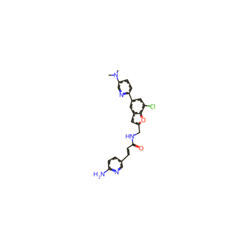 CN(C)c1ccc(-c2cc(Cl)c3oc(CNC(=O)C=Cc4ccc(N)nc4)cc3c2)nc1